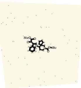 COC(=O)C(=O)c1cn(C2CCN(C(=O)OC(C)(C)C)CC23CCCC3)c2ccccc12